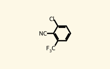 N#Cc1c(Cl)cccc1C(F)(F)F